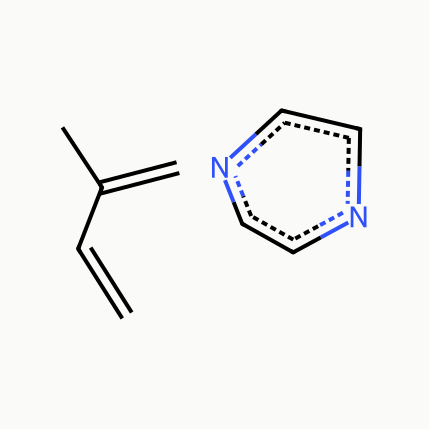 C=CC(=C)C.c1cnccn1